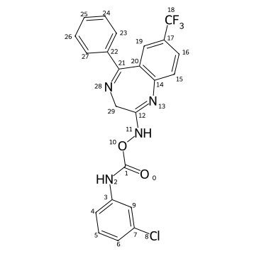 O=C(Nc1cccc(Cl)c1)ONC1=Nc2ccc(C(F)(F)F)cc2C(c2ccccc2)=NC1